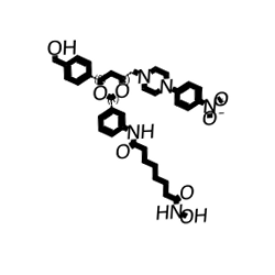 O=C(CCCCCCC(=O)Nc1cccc([C@H]2O[C@@H](CN3CCN(c4ccc([N+](=O)[O-])cc4)CC3)C[C@@H](c3ccc(CO)cc3)O2)c1)NO